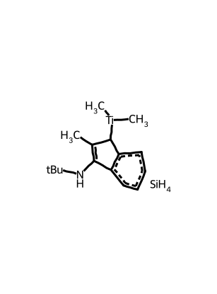 CC1=C(NC(C)(C)C)c2ccccc2[CH]1[Ti]([CH3])[CH3].[SiH4]